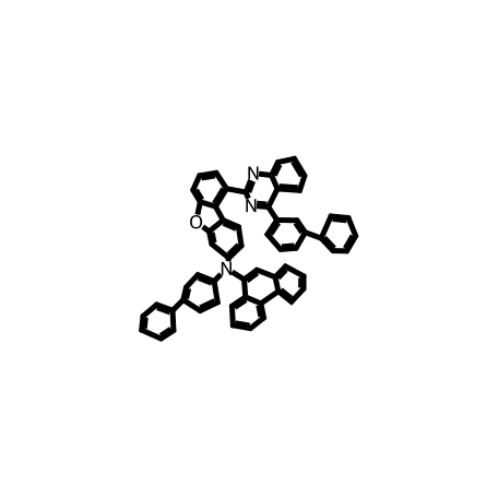 c1ccc(-c2ccc(N(c3ccc4c(c3)oc3cccc(-c5nc(-c6cccc(-c7ccccc7)c6)c6ccccc6n5)c34)c3cc4ccccc4c4ccccc34)cc2)cc1